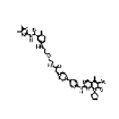 CC(=O)c1c(C)c2cnc(Nc3ccc(N4CCN(CC(=O)NCCOCCNc5ccc(C)c(C(=O)Nc6nc(C)c(C)s6)c5)CC4)cn3)nc2n(C2CCCC2)c1=O